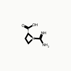 N=C(N)N1CC[C@@H]1C(=O)O